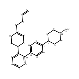 C=CCCC1=CCC(c2ccccc2-c2ccc(C3CCC(CCC)CC3)cc2)CC1